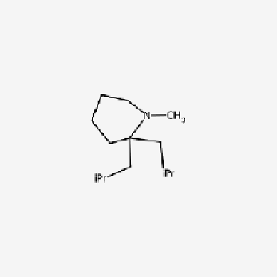 CC(C)CC1(CC(C)C)CCCCN1C